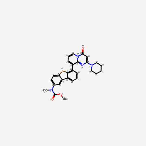 CN(C(=O)OC(C)(C)C)c1ccc2sc3c(-c4cccn5c(=O)cc(N6CCCCC6)nc45)cccc3c2c1